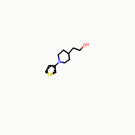 OCCC1CCN(c2[c]scc2)CC1